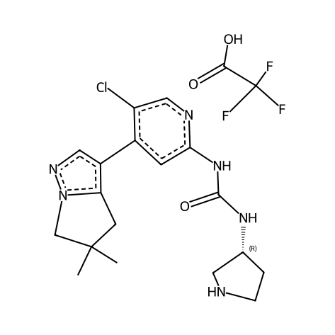 CC1(C)Cc2c(-c3cc(NC(=O)N[C@@H]4CCNC4)ncc3Cl)cnn2C1.O=C(O)C(F)(F)F